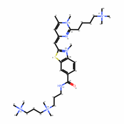 CC1=C/C(=C/c2sc3cc(C(=O)NCCC[N+](C)(C)CCC[N+](C)(C)C)ccc3[n+]2C)N=C(CCCC[N+](C)(C)C)N1C